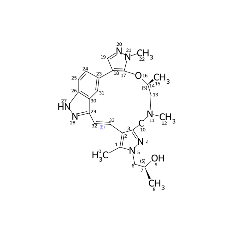 Cc1c2c(nn1C[C@H](C)O)CN(C)C[C@H](C)Oc1c(cnn1C)-c1ccc3[nH]nc(c3c1)/C=C/2